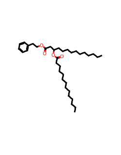 CCCCCCCCCCCCCC(=O)OC(CCCCCCCCCCC)CC(=O)OCCc1ccccc1